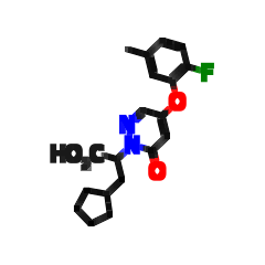 Cc1ccc(F)c(Oc2cnn(C(CC3CCCC3)C(=O)O)c(=O)c2)c1